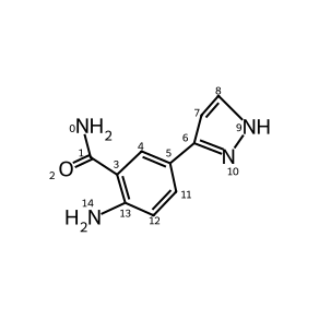 NC(=O)c1cc(-c2cc[nH]n2)ccc1N